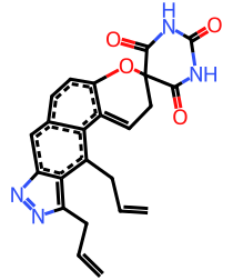 C=CCC1=c2c(cc3ccc4c(c3c2CC=C)=CCC2(O4)C(=O)NC(=O)NC2=O)N=N1